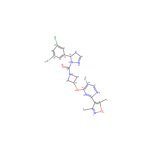 Cc1noc(C)c1-c1ncc(F)c(OC2CN(C(=O)N3N=CCC3c3cc(F)cc(F)c3)C2)n1